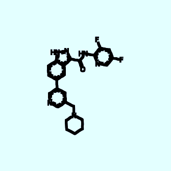 O=C(Nc1ncc(F)cc1F)c1n[nH]c2ccc(-c3cncc(CN4CCCCC4)c3)cc12